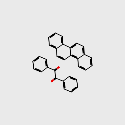 O=C(C(=O)c1ccccc1)c1ccccc1.c1ccc2c(c1)ccc1c3ccccc3ccc21